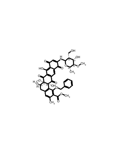 COC(=O)c1c(C)cc2c(c1OCc1ccccc1)[C@]1(O)C(=O)c3cc4c(c(O)c3C(=O)[C@]1(OC)[C@H](O)C2)C(=O)C=C(NC1O[C@@H](C)[C@H](OC)[C@@H](O)[C@H]1CO)C4=O